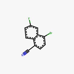 N#Cc1[c]cc(Br)c2cc(F)ccc12